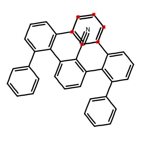 N#Cc1c(-c2c(-c3ccccc3)cccc2-c2ccccc2)cccc1-c1c(-c2ccccc2)cccc1-c1ccccc1